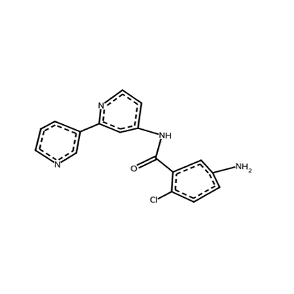 Nc1ccc(Cl)c(C(=O)Nc2ccnc(-c3cccnc3)c2)c1